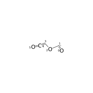 O=[C]OC=C=O